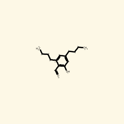 CCCCc1cc(O)c(C=O)c(CCCC)c1